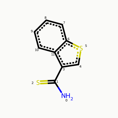 NC(=S)c1csc2ccccc12